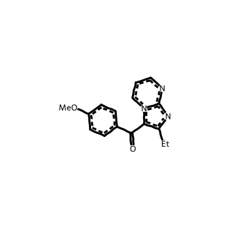 CCc1nc2ncccn2c1C(=O)c1ccc(OC)cc1